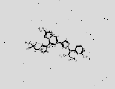 Cc1cc(C(C(C)C)n2cc(-c3cc(-c4cnn(CC(C)(F)F)c4)n4nc(N)nc4c3)cn2)ccn1